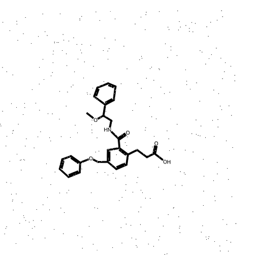 COC(CNC(=O)c1cc(COc2ccccc2)ccc1CCC(=O)O)c1ccccc1